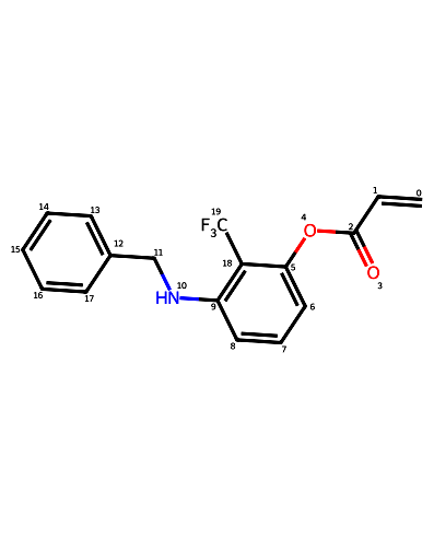 C=CC(=O)Oc1cccc(NCc2ccccc2)c1C(F)(F)F